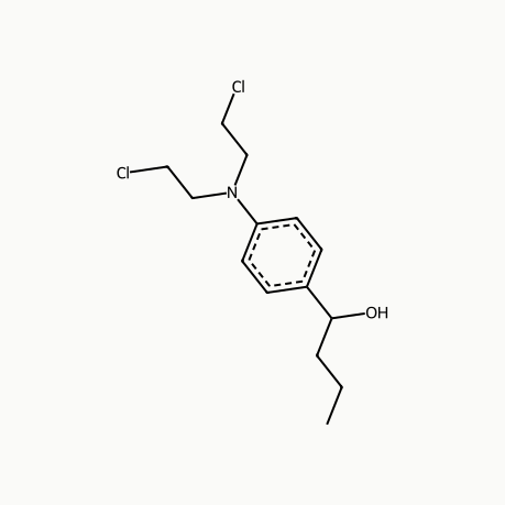 CCCC(O)c1ccc(N(CCCl)CCCl)cc1